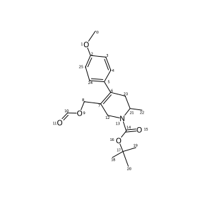 COc1ccc(C2=C(COC=O)CN(C(=O)OC(C)(C)C)C(C)C2)cc1